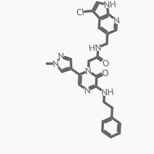 Cn1cc(-c2cnc(NCCc3ccccc3)c(=O)n2CC(=O)NCc2cnc3[nH]cc(Cl)c3c2)cn1